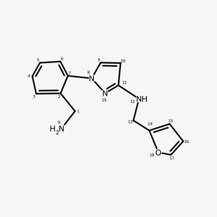 NCc1ccccc1-n1ccc(NCc2ccco2)n1